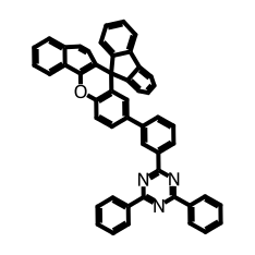 c1ccc(-c2nc(-c3ccccc3)nc(-c3cccc(-c4ccc5c(c4)C4(c6ccccc6-c6ccccc64)c4ccc6ccccc6c4O5)c3)n2)cc1